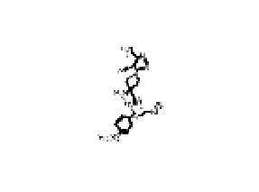 COc1ccc([C@H](CCN=O)NC(=O)C2(N)CCN(c3ncnc(N)c3C#N)CC2)cc1